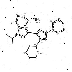 CC(C)n1nc(-c2cc(-c3ccccc3)nn2C2CCCCO2)c2c(N)ncnc21